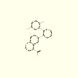 NC(=O)c1ccnc2ccc(-c3cccnc3-c3cc(Cl)ccc3F)cc12